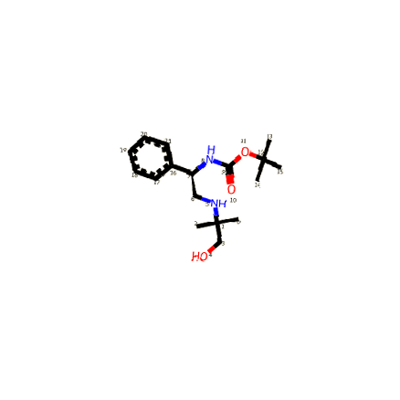 CC(C)(CO)NC[C@H](NC(=O)OC(C)(C)C)c1ccccc1